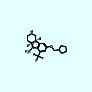 CN1c2c(cc(OCC3CCCC3)cc2C(F)(F)F)[C@@H]2CNCC[C@@H]21